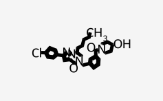 CCCCCC1CN(Cc2cccc(C(=O)N3CCC(O)CC3)c2)C(=O)c2cc(-c3ccc(Cl)cc3)nn21